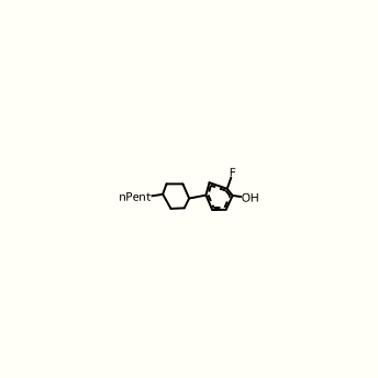 CCCCCC1CCC(c2ccc(O)c(F)c2)CC1